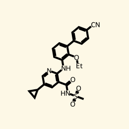 CCOc1c(Nc2ncc(C3CC3)cc2C(=O)NS(C)(=O)=O)cccc1-c1ccc(C#N)cc1